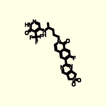 CC(CCCn1ccc2cc(-c3ncc4c(n3)CS(=O)(=O)C4)c(F)cc2c1=O)Nc1cn[nH]c(=O)c1C(F)(F)F